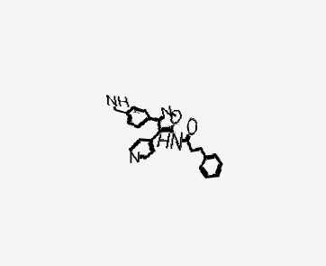 NCc1ccc(-c2noc(NC(=O)CCc3ccccc3)c2-c2ccncc2)cc1